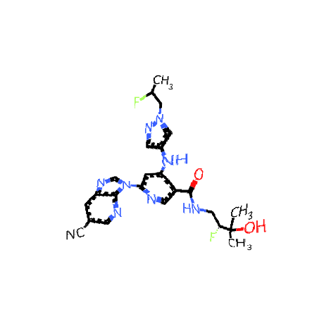 CC(F)Cn1cc(Nc2cc(-n3cnc4cc(C#N)cnc43)ncc2C(=O)NC[C@@H](F)C(C)(C)O)cn1